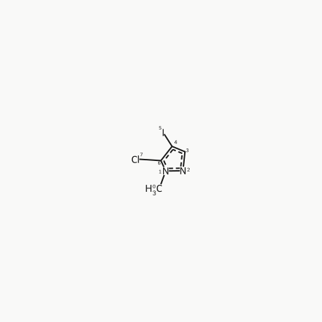 Cn1ncc(I)c1Cl